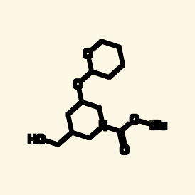 CC(C)(C)OC(=O)N1CC(CO)CC(OC2CCCCO2)C1